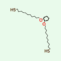 SCCCCCCCCCCCOc1ccccc1OCCCCCCCCCCCS